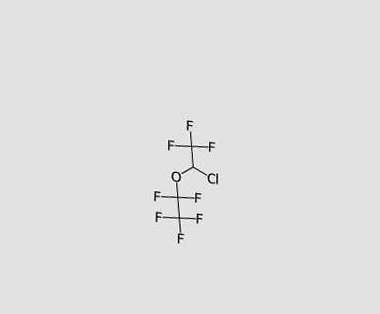 FC(F)(F)C(Cl)OC(F)(F)C(F)(F)F